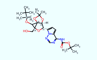 CC(C)(C)OC(=O)Nc1ncnn2c([C@@H]3O[C@]4(CO)C(O[Si](C)(C)C(C)(C)C)[C@@]45OC(C)(C)O[C@@H]35)ccc12